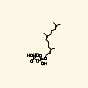 CC(C)=CCCC(C)=CCC/C(C)=C\COP(=O)(O)OP(=O)(O)O